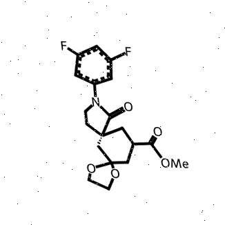 COC(=O)C1CC2(C[C@@]3(CCN(c4cc(F)cc(F)c4)C3=O)C1)OCCO2